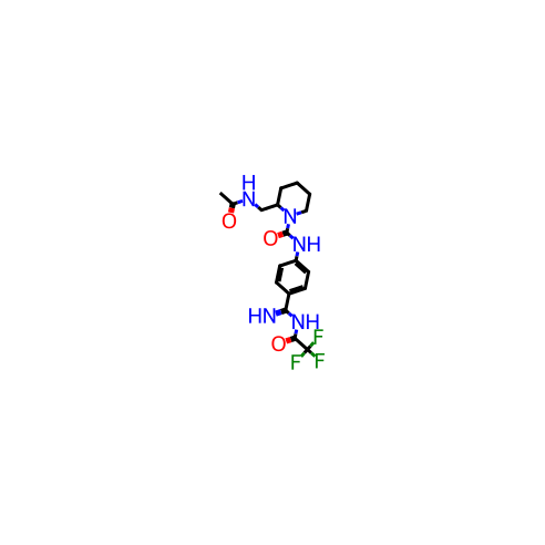 CC(=O)NCC1CCCCN1C(=O)Nc1ccc(C(=N)NC(=O)C(F)(F)F)cc1